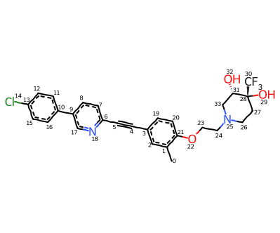 Cc1cc(C#Cc2ccc(-c3ccc(Cl)cc3)cn2)ccc1OCCN1CC[C@](O)(C(F)(F)F)[C@@H](O)C1